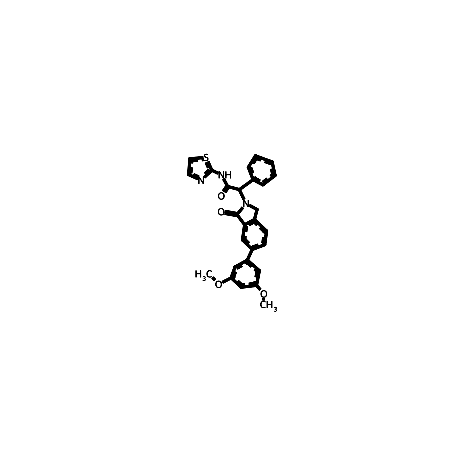 COc1cc(OC)cc(-c2ccc3c(c2)C(=O)N(C(C(=O)Nc2nccs2)c2ccccc2)C3)c1